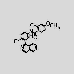 COc1ccc(C(=O)Nc2ccc(Cl)c(-c3nccc4ccccc34)c2)c(Cl)c1